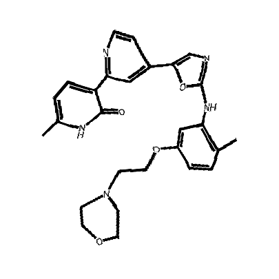 Cc1ccc(-c2cc(-c3cnc(Nc4cc(OCCN5CCOCC5)ccc4C)o3)ccn2)c(=O)[nH]1